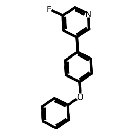 Fc1cncc(-c2ccc(Oc3ccccc3)cc2)c1